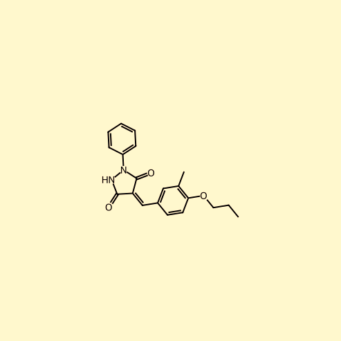 CCCOc1ccc(/C=C2/C(=O)NN(c3ccccc3)C2=O)cc1C